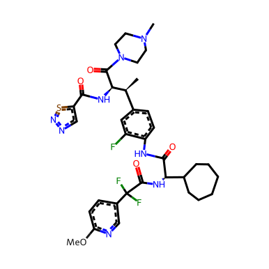 COc1ccc(C(F)(F)C(=O)N[C@H](C(=O)Nc2ccc([C@H](C)[C@@H](NC(=O)c3cnns3)C(=O)N3CCN(C)CC3)cc2F)C2CCCCCC2)cn1